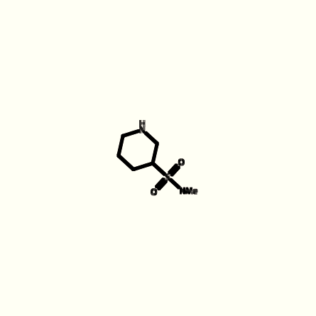 CNS(=O)(=O)C1CCCNC1